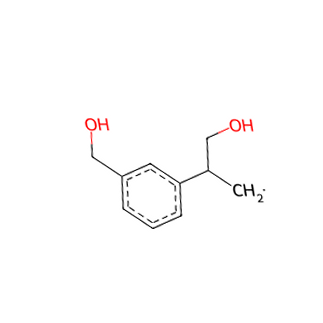 [CH2]C(CO)c1cccc(CO)c1